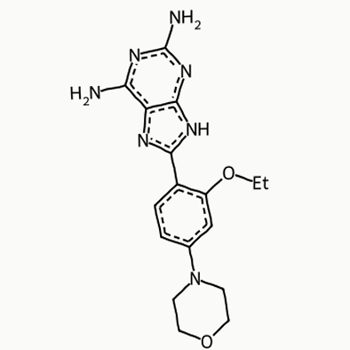 CCOc1cc(N2CCOCC2)ccc1-c1nc2c(N)nc(N)nc2[nH]1